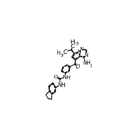 CC(C)c1cc(C(=O)c2cccc(NC(=O)Nc3ccc4c(c3)CCC4)c2)c2c(N)ncnn12